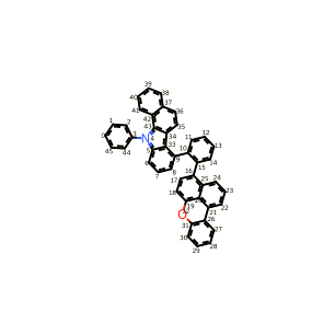 c1ccc(-n2c3cccc(-c4ccccc4-c4ccc5c6c(cccc46)-c4ccccc4O5)c3c3ccc4ccccc4c32)cc1